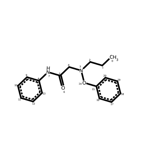 CCCN(CC(=O)Nc1ccccc1)Oc1ccccc1